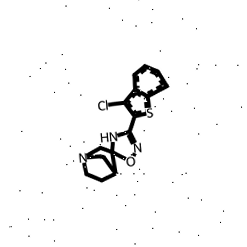 Clc1c(C2=NOC3(CN4CCC3CC4)N2)sc2ccccc12